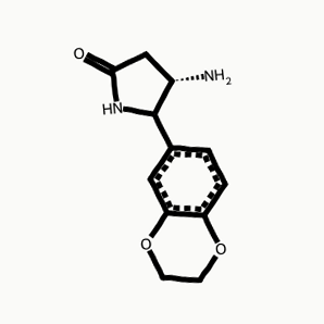 N[C@H]1CC(=O)NC1c1ccc2c(c1)OCCO2